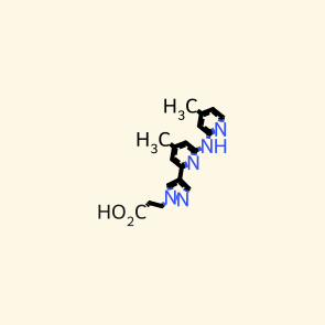 Cc1ccnc(Nc2cc(C)cc(-c3cnn(CCC(=O)O)c3)n2)c1